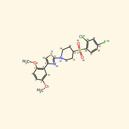 COc1ccc(OC)c(-c2csc(N3CCC(S(=O)(=O)c4ccc(F)cc4Cl)CC3)n2)c1